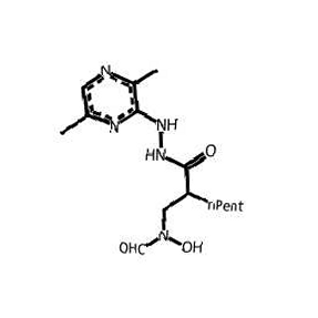 CCCCCC(CN(O)C=O)C(=O)NNc1nc(C)cnc1C